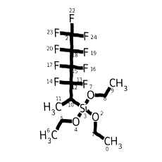 CCO[Si](OCC)(OCC)C(C)C(F)(F)C(F)(F)C(F)(F)C(F)(F)F